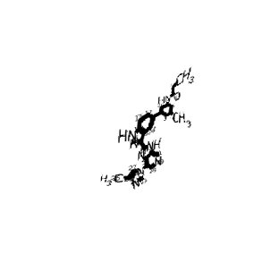 CCC(=O)Nc1cc(C)cc(-c2ccc3[nH]nc(-c4nc5c(-n6cnc(C)c6)cncc5[nH]4)c3c2)c1